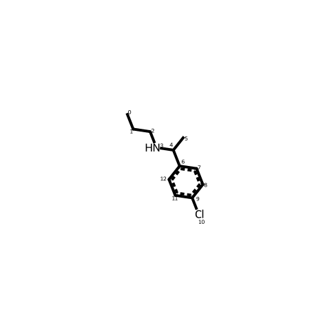 CCCNC(C)c1ccc(Cl)cc1